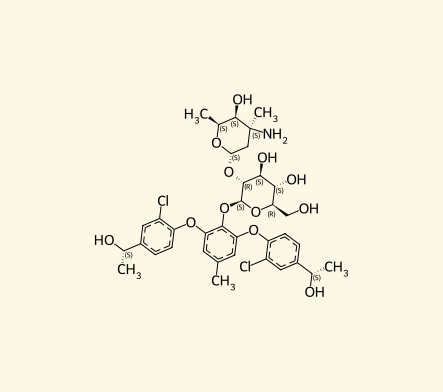 Cc1cc(Oc2ccc([C@H](C)O)cc2Cl)c(O[C@@H]2O[C@H](CO)[C@@H](O)[C@H](O)[C@H]2O[C@H]2C[C@](C)(N)[C@H](O)[C@H](C)O2)c(Oc2ccc([C@H](C)O)cc2Cl)c1